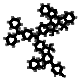 Cc1ccc(-c2cc3c(c4c2oc2ccccc24)-c2ccc(N(c4ccc(N(c5ccccc5)c5ccccc5)cc4)c4ccc5c(c4)C(C)(C)c4c6c(c7oc8ccccc8c7c4-5)-c4ccccc4C6(C)C)cc2C3(C)C)cc1